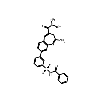 CCCN(CCC)C(=O)C1=Cc2ccc(-c3cccc(S(=O)(=O)NC(=O)c4ccccc4)c3)cc2N=C(N)C1